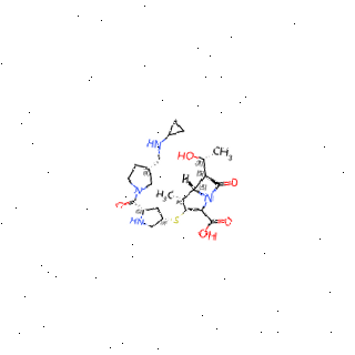 C[C@@H](O)[C@H]1C(=O)N2C(C(=O)O)=C(S[C@@H]3CN[C@H](C(=O)N4CC[C@H](CNC5CC5)C4)C3)[C@H](C)[C@H]12